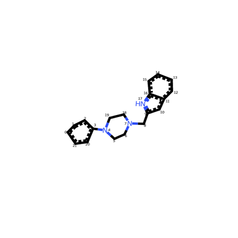 c1ccc(N2CCN(Cc3cc4ccccc4[nH]3)CC2)cc1